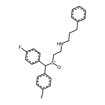 [O-][S+](CCNCCCc1ccccc1)C(c1ccc(F)cc1)c1ccc(F)cc1